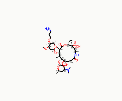 CC[C@H]1OC(=O)[C@H](C)[C@@H](O[C@H]2C[C@@](C)(OC)[C@@H](OCCCN)[C@H](C)O2)[C@H](C)[C@@H](O[C@@H]2O[C@H](C)C[C@H](N(C)C)[C@H]2O)[C@](C)(OC)C[C@@H](C)C(=O)N[C@H](C)[C@@H](O)[C@]1(C)O